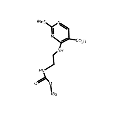 CSc1ncc(C(=O)O)c(NCCNC(=O)OC(C)(C)C)n1